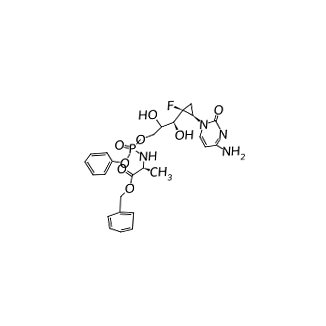 C[C@H](NP(=O)(OCC(O)[C@H](O)[C@]1(F)C[C@H]1n1ccc(N)nc1=O)Oc1ccccc1)C(=O)OCc1ccccc1